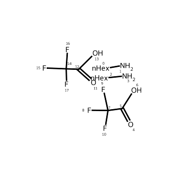 CCCCCCN.CCCCCCN.O=C(O)C(F)(F)F.O=C(O)C(F)(F)F